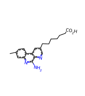 Cc1ccc2c(c1)nc(N)c1ncc(CCCCCCC(=O)O)cc12